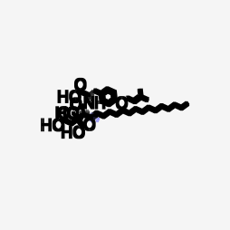 CCCCCCCCCCCCCC/C=C/[C@H](C(=O)N[C@@H](Cc1ccc(OCC=C(C)C)cc1)C(=O)O)[C@@](O)(CC(=O)O)C(=O)O